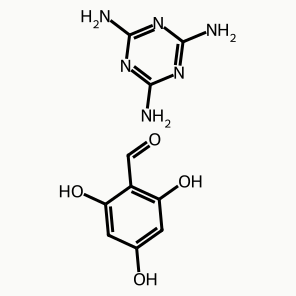 Nc1nc(N)nc(N)n1.O=Cc1c(O)cc(O)cc1O